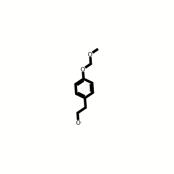 COCOc1ccc(CC[O])cc1